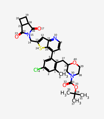 Cc1cc(Cl)cc(-c2ccnc3cc(CN4C(=O)C5CCC5C4=O)sc23)c1CC1CN(C(=O)OC(C)(C)C)CCO1